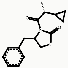 C[C@@H](C(=O)N1C(=O)OC[C@H]1Cc1ccccc1)C1CC1